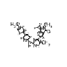 Cc1cnc(Nc2ccc(C3CCN(C)CC3)cn2)nc1-c1cc2c(s1)C1(CC1)N(C)C2=O